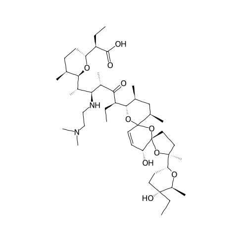 CC[C@@H](C(=O)[C@@H](C)[C@@H](NCCN(C)C)[C@H](C)[C@@H]1O[C@@H]([C@@H](CC)C(=O)O)CC[C@@H]1C)[C@H]1OC2(C=C[C@@H](O)[C@]3(CC[C@@](C)([C@H]4CC[C@](O)(CC)[C@H](C)O4)O3)O2)[C@H](C)C[C@@H]1C